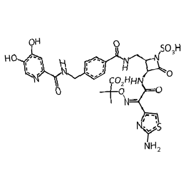 CC(C)(ON=C(C(=O)N[C@@H]1C(=O)N(S(=O)(=O)O)[C@@H]1CNC(=O)c1ccc(CNC(=O)c2cc(O)c(O)cn2)cc1)c1csc(N)n1)C(=O)O